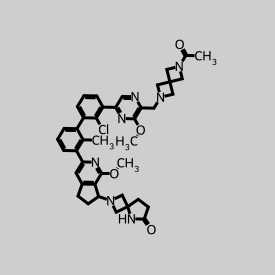 COc1nc(-c2cccc(-c3cccc(-c4cc5c(c(OC)n4)C(N4CC6(CCC(=O)N6)C4)CC5)c3C)c2Cl)cnc1CN1CC2(C1)CN(C(C)=O)C2